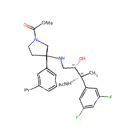 COC(=O)N1CCC(NC[C@H](O)[C@](C)(NC(C)=O)c2cc(F)cc(F)c2)(c2cccc(C(C)C)c2)C1